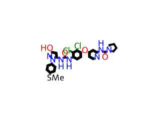 CSc1ccc(-n2nc(O)cc2NC(=O)Nc2ccc(Oc3ccnc(NC(=O)N4CCCC4)c3)c(Cl)c2Cl)cc1